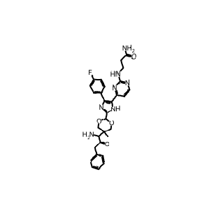 CC1(C(N)C(=O)Cc2ccccc2)COC(c2nc(-c3ccc(F)cc3)c(-c3ccnc(NCCC(N)=O)n3)[nH]2)OC1